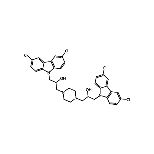 OC(CN1CCN(CC(O)Cn2c3ccc(Cl)cc3c3cc(Cl)ccc32)CC1)Cn1c2ccc(Cl)cc2c2cc(Cl)ccc21